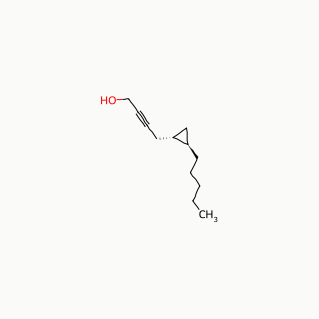 CCCCC[C@@H]1C[C@H]1CC#CCO